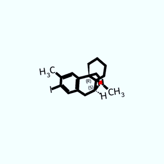 Cc1cc2c(cc1I)C[C@H]1[C@@H]3CCCC[C@]23CCN1C